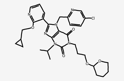 CC(C)n1c(=O)n(CCCOC2CCCCO2)c(=O)c2c1nc(-c1cccnc1OCC1CC1)n2Cc1ccc(Cl)cn1